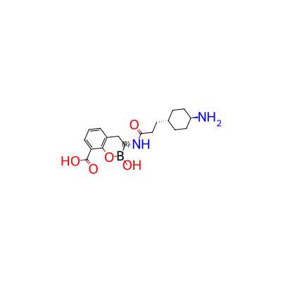 N[C@H]1CC[C@H](CCC(=O)N[C@H]2Cc3cccc(C(=O)O)c3OB2O)CC1